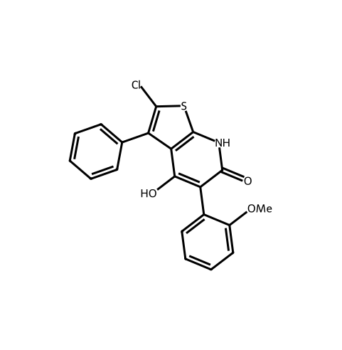 COc1ccccc1-c1c(O)c2c(-c3ccccc3)c(Cl)sc2[nH]c1=O